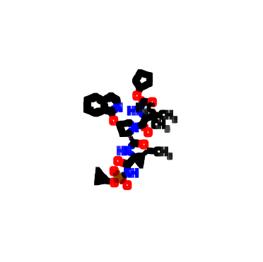 CC[C@@H]1C[C@]1(NC(=O)[C@@H]1C[C@@H](Oc2nccc3ccccc23)CN1C(=O)[C@@H](NC(=O)OC1CCCC1)C(C)(C)C)C(=O)NS(=O)(=O)OC1CC1